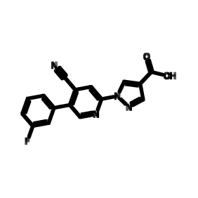 N#Cc1cc(-n2cc(C(=O)O)cn2)ncc1-c1cccc(F)c1